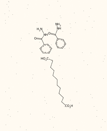 NNC(=O)c1ccccc1.NNC(=O)c1ccccc1.O=C(O)CCCCCCCCCCC(=O)O